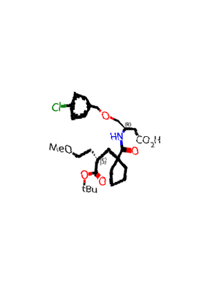 COCC[C@H](CC1(C(=O)N[C@@H](COCc2ccc(Cl)cc2)CC(=O)O)CCCC1)C(=O)OC(C)(C)C